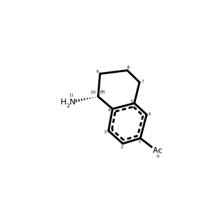 CC(=O)c1ccc2c(c1)CCC[C@H]2N